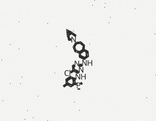 Cc1ccc(Nc2nc(Nc3ccc4c(c3)CCC(N3CC5CC5C3)CC4)ncc2Cl)c(P(C)C)c1